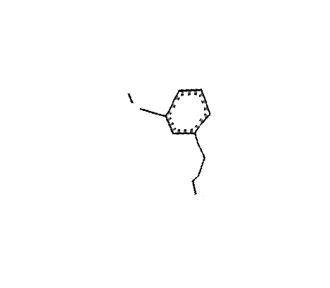 CCCOc1cccc(CCNC)c1